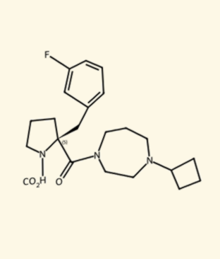 O=C(O)N1CCC[C@]1(Cc1cccc(F)c1)C(=O)N1CCCN(C2CCC2)CC1